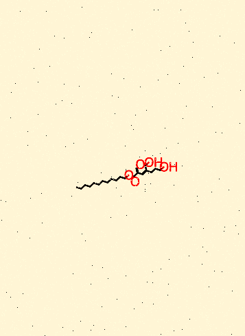 C=C(C=C(CCCO)C(=O)O)C(=O)OCCCCCCCCCCCC